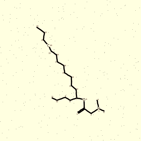 C=C(CN(C)C)OC(CCCC)CCCCCCCCCCCC